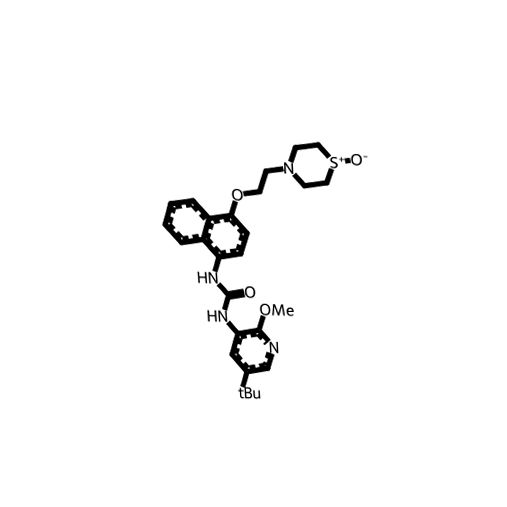 COc1ncc(C(C)(C)C)cc1NC(=O)Nc1ccc(OCCN2CC[S+]([O-])CC2)c2ccccc12